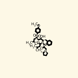 COc1ccc(S(=O)(=O)N(CC(C)C)C[C@@H](O)[C@H](Cc2ccccc2)N(NC(=O)CN2CCCC2)C(=O)CC(C)C)cc1